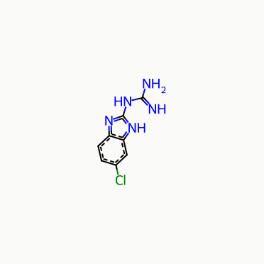 N=C(N)Nc1nc2ccc(Cl)cc2[nH]1